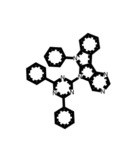 c1ccc(-c2nc(-c3ccccc3)nc(-n3c4cncnc4c4c5ccccc5n(-c5ccccc5)c43)n2)cc1